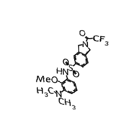 COc1c(NS(=O)(=O)c2ccc3c(c2)CN(C(=O)C(F)(F)F)C3)cccc1N(C)C